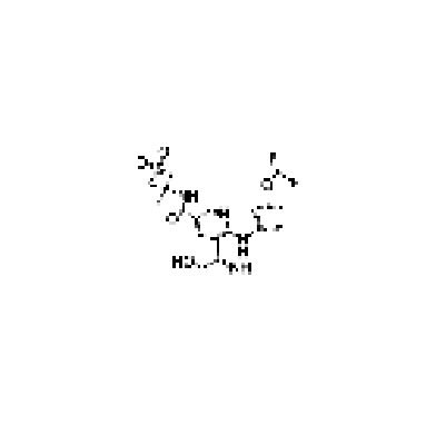 C[C@H](O)C(=N)c1cc(C(=O)NC2(C)CS(=O)(=O)C2)cnc1Nc1cccc(OC(F)F)c1